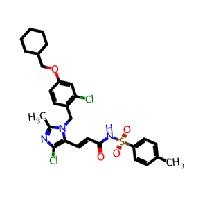 Cc1ccc(S(=O)(=O)NC(=O)/C=C/c2c(Cl)nc(C)n2Cc2ccc(OCC3CCCCC3)cc2Cl)cc1